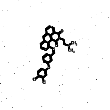 CN(C)CCN1C(=O)c2cccc3cc4cccc(/N=C\c5cccc(Oc6ccc(Cl)c(Cl)c6)c5)c4c(c23)C1=O